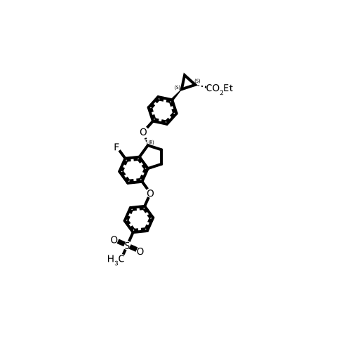 CCOC(=O)[C@H]1C[C@@H]1c1ccc(O[C@@H]2CCc3c(Oc4ccc(S(C)(=O)=O)cc4)ccc(F)c32)cc1